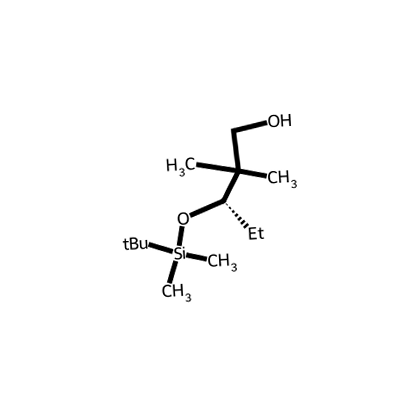 CC[C@H](O[Si](C)(C)C(C)(C)C)C(C)(C)CO